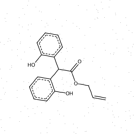 C=CCOC(=O)C(c1ccccc1O)c1ccccc1O